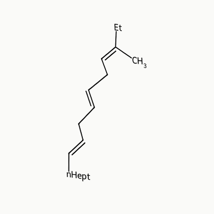 [CH2]CCCCCCC=CCC=CCC=C(C)CC